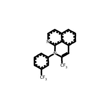 FC(F)(F)C1=Cc2cccc3ccnc(c23)N1c1cccc(C(F)(F)F)c1